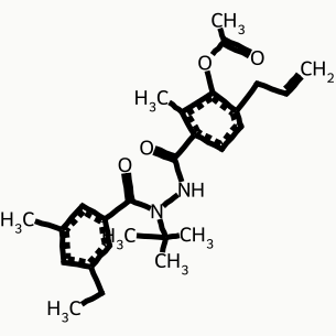 C=CCc1ccc(C(=O)NN(C(=O)c2cc(C)cc(CC)c2)C(C)(C)C)c(C)c1OC(C)=O